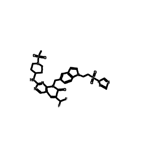 CS(=O)(=O)N1CCC(Nc2ncc3cc(C(F)F)c(=O)n(Cc4ccc5c(ccn5CCS(=O)(=O)n5cncn5)c4)c3n2)CC1